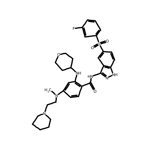 CN(CCN1CCCCC1)c1ccc(C(=O)Nc2n[nH]c3ccc(S(=O)(=O)c4cccc(F)c4)cc23)c(NC2CCOCC2)c1